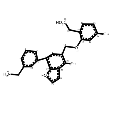 NCc1cccc(-c2cc(COc3cc(F)ccc3CC(=O)O)c(F)c3ccoc23)c1